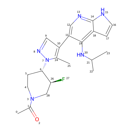 CC(=O)N1CC[C@H](n2ncc(-c3cnc4[nH]ccc4c3NC(C)C)c2C)[C@@H](F)C1